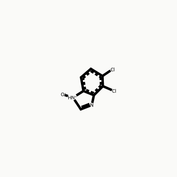 [O-][NH+]1C=Nc2c1ccc(Cl)c2Cl